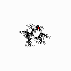 CC(=O)O[C@@H](CCNC(=O)OC(C)(C)C)C(=O)N[C@H](C(=O)N[C@@H](CCNC(=O)OC(C)(C)C)C(=O)N[C@H]1CCNC(=O)[C@H]([C@H](C)O)NC(=O)[C@H](CCNC(=O)OC(C)(C)C)NC(=O)[C@H](CCNC(=O)OC(C)(C)C)NC(=O)[C@H](CC(C)C)NC(=O)[C@@H](Cc2ccccc2)NC(=O)[C@H](CCNC(=O)OC(C)(C)C)NC1=O)C(C)O